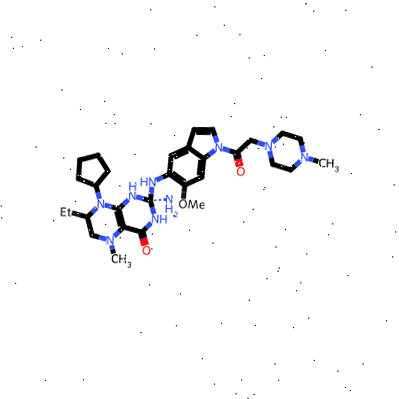 CCC1CN(C)C2=C(N[C@@](N)(Nc3cc4ccn(C(=O)CN5CCN(C)CC5)c4cc3OC)NC2=O)N1C1CCCC1